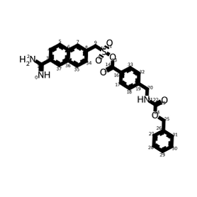 N=C(N)c1ccc2cc(CS(=O)(=O)OC(=O)c3ccc(CNC(=O)OCc4ccccc4)cc3)ccc2c1